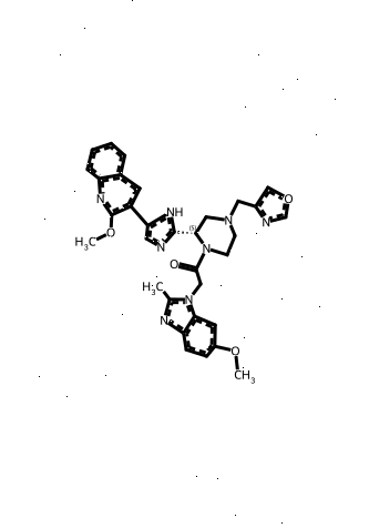 COc1ccc2nc(C)n(CC(=O)N3CCN(Cc4cocn4)C[C@H]3c3ncc(-c4cc5ccccc5nc4OC)[nH]3)c2c1